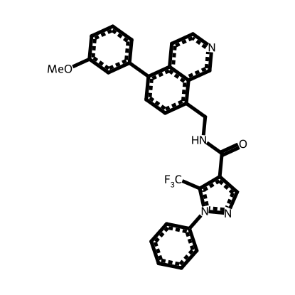 COc1cccc(-c2ccc(CNC(=O)c3cnn(-c4ccccc4)c3C(F)(F)F)c3cnccc23)c1